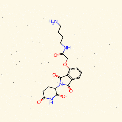 NCCCCNC(=O)COc1cccc2c1C(=O)N(C1CCC(=O)NC1=O)C2=O